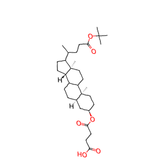 CC(CCC(=O)OC(C)(C)C)C1CC[C@H]2C3CC[C@@H]4C[C@H](OC(=O)CCC(=O)O)CC[C@]4(C)C3CC[C@]12C